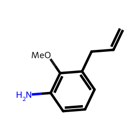 C=CCc1cccc(N)c1OC